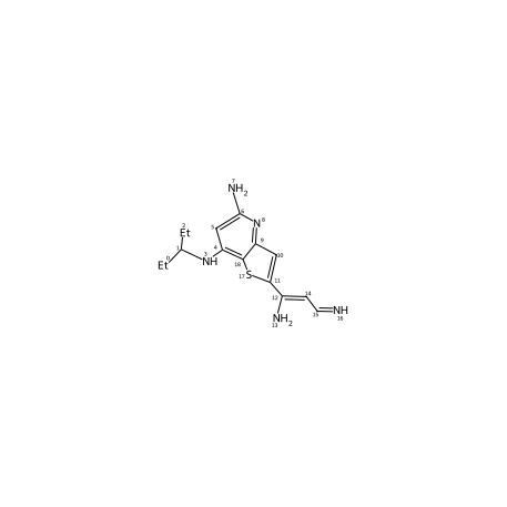 CCC(CC)Nc1cc(N)nc2cc(/C(N)=C/C=N)sc12